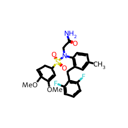 COC1=CCC(S(=O)(=O)N(CC(N)=O)c2ccc(C)cc2Cc2c(F)cccc2F)C=C1OC